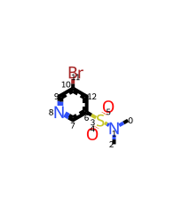 CN(C)S(=O)(=O)c1cncc(Br)c1